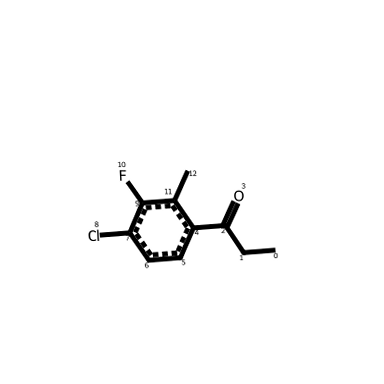 CCC(=O)c1ccc(Cl)c(F)c1C